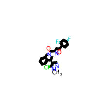 Cn1ncc([C@@H]2CN(C(=O)c3cc(-c4ccc(F)cc4F)on3)Cc3ccccc32)c1Cl